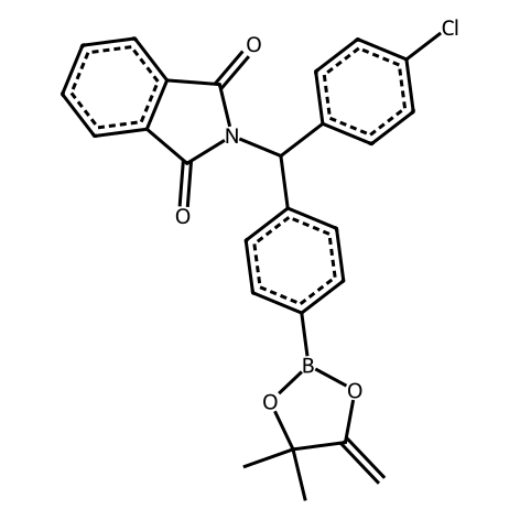 C=C1OB(c2ccc(C(c3ccc(Cl)cc3)N3C(=O)c4ccccc4C3=O)cc2)OC1(C)C